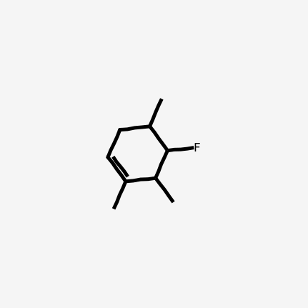 CC1=CCC(C)C(F)C1C